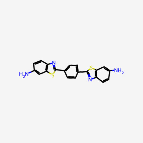 Nc1ccc2nc(-c3ccc(-c4nc5ccc(N)cc5s4)cc3)sc2c1